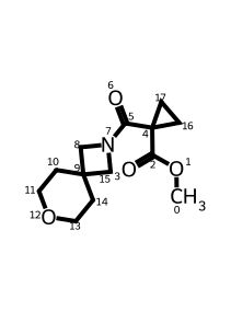 COC(=O)C1(C(=O)N2CC3(CCOCC3)C2)CC1